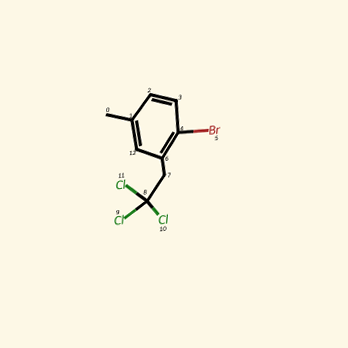 Cc1ccc(Br)c(CC(Cl)(Cl)Cl)c1